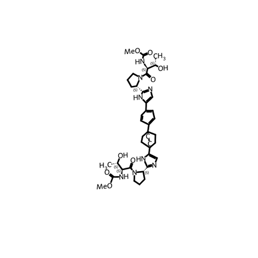 COC(=O)N[C@H](C(=O)N1CCC[C@H]1c1ncc(-c2ccc(C34CCC(c5cnc([C@@H]6CCCN6C(=O)[C@@H](NC(=O)OC)[C@H](C)O)[nH]5)(CC3)CC4)cc2)[nH]1)[C@H](C)O